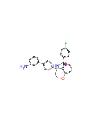 Nc1cccc(-c2ccc(C3(NC(=O)c4ccc(F)cc4)CCOc4cccnc43)cc2)c1